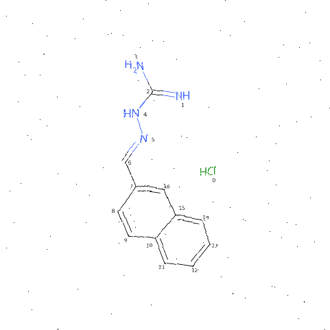 Cl.N=C(N)NN=Cc1ccc2ccccc2c1